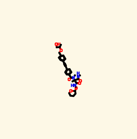 CNC(=O)C(C)(C(=O)NOC1CCCCO1)N(C)C(=O)c1ccc(C#Cc2ccc(COC(C)CO)cc2)cc1